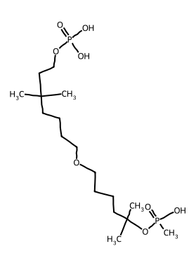 CC(C)(CCCCOCCCCC(C)(C)OP(C)(=O)O)CCOP(=O)(O)O